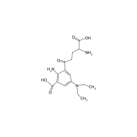 CCN(CC)c1cc(C(=O)O)c(N)c(C(=O)CCC(N)C(=O)O)c1